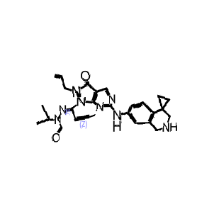 C=CCn1c(=O)c2cnc(Nc3ccc4c(c3)CNCC43CC3)nc2n1C(/C=C\C)=N/N(C=O)C(C)C